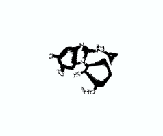 OC1CCCC(n2c(NC3CC3)nc3cc(Cl)c(Cl)cc32)C1O